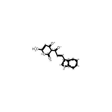 CC1=CC(=O)C(C(=O)C=Cc2csc3ccccc23)C(=O)O1